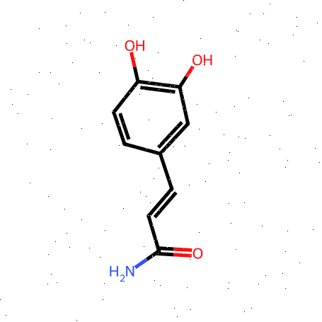 NC(=O)C=Cc1ccc(O)c(O)c1